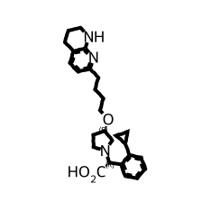 O=C(O)[C@@H](c1ccccc1C1CC1)N1CC[C@H](OCCCCc2ccc3c(n2)NCCC3)C1